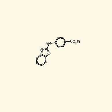 CCOC(=O)c1ccc(Nc2nc3ccccc3s2)cc1